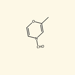 CC1=CN(C=O)C=CO1